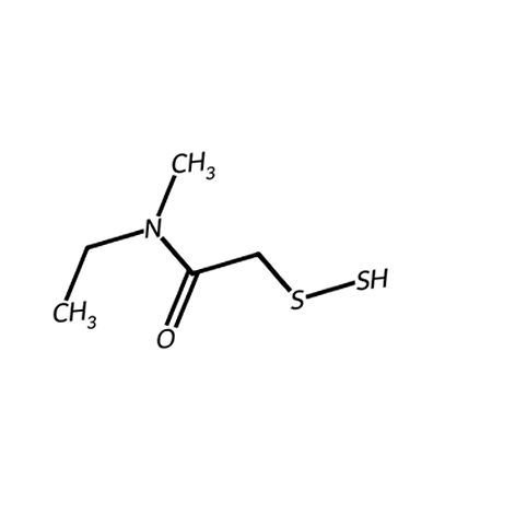 CCN(C)C(=O)CSS